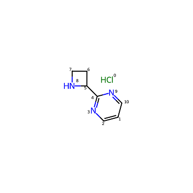 Cl.c1cnc(C2CCN2)nc1